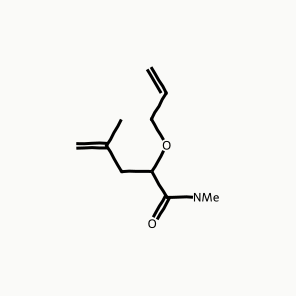 C=CCOC(CC(=C)C)C(=O)NC